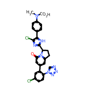 CN(C(=O)O)c1ccc(-c2[nH]c(C3CCc4cc(-c5cc(Cl)ccc5-n5cnnn5)cc(=O)n43)nc2Cl)cc1